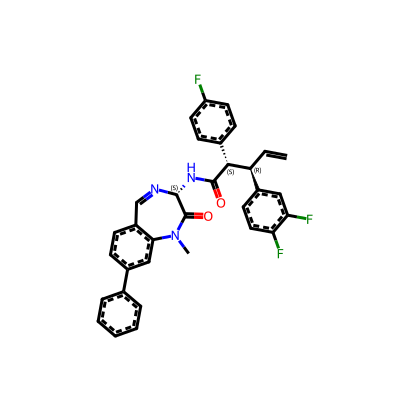 C=C[C@@H](c1ccc(F)c(F)c1)[C@H](C(=O)N[C@H]1N=Cc2ccc(-c3ccccc3)cc2N(C)C1=O)c1ccc(F)cc1